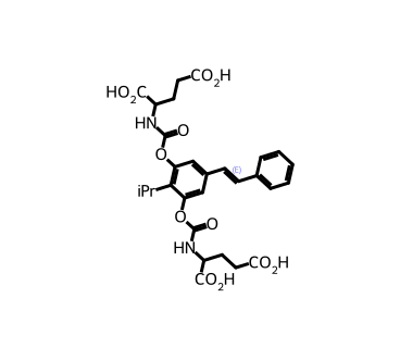 CC(C)c1c(OC(=O)NC(CCC(=O)O)C(=O)O)cc(/C=C/c2ccccc2)cc1OC(=O)NC(CCC(=O)O)C(=O)O